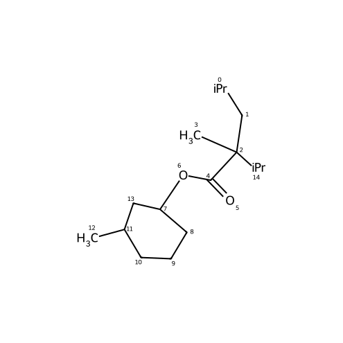 CC(C)CC(C)(C(=O)OC1CCCC(C)C1)C(C)C